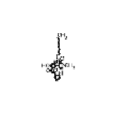 CCCCCCCCCOC(=O)O[C@H]1CN(C)CCC1c1c(O)cc(O)c2c(=O)cc(-c3ccccc3Cl)oc12